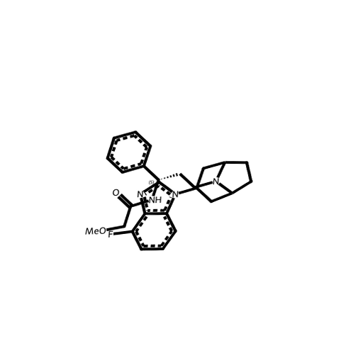 COCC(=O)N[C@@H](CCN1C2CCC1CC(n1cnc3c(F)cccc31)C2)c1ccccc1